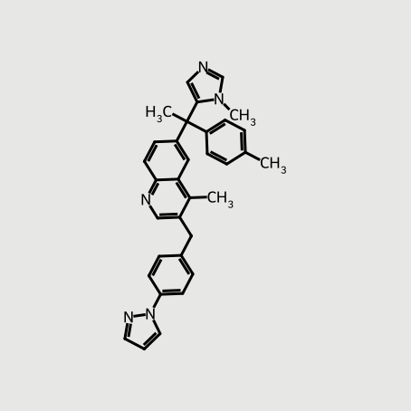 Cc1ccc(C(C)(c2ccc3ncc(Cc4ccc(-n5cccn5)cc4)c(C)c3c2)c2cncn2C)cc1